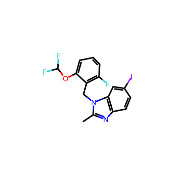 Cc1nc2ccc(I)cc2n1Cc1c(F)cccc1OC(F)F